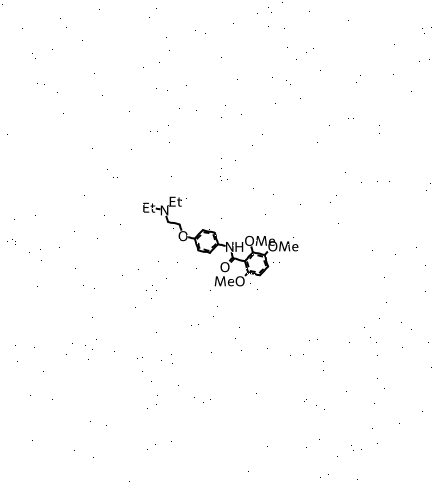 CCN(CC)CCOc1ccc(NC(=O)c2c(OC)ccc(OC)c2OC)cc1